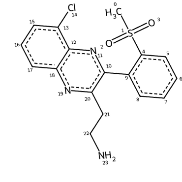 CS(=O)(=O)c1ccccc1-c1nc2c(Cl)cccc2nc1CCN